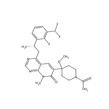 COC1(c2cc3c(C[C@H](C)c4cccc(C(F)F)c4F)ncnc3n(C)c2=O)CCN(C(C)=O)CC1